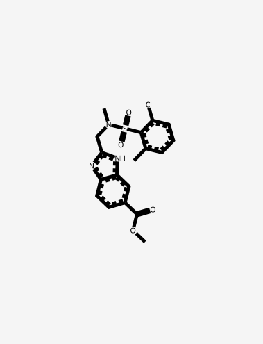 COC(=O)c1ccc2nc(CN(C)S(=O)(=O)c3c(C)cccc3Cl)[nH]c2c1